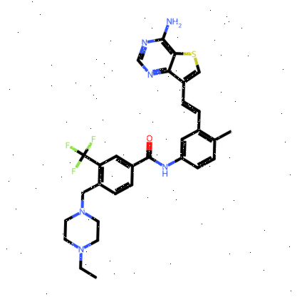 CCN1CCN(Cc2ccc(C(=O)Nc3ccc(C)c(C=Cc4csc5c(N)ncnc45)c3)cc2C(F)(F)F)CC1